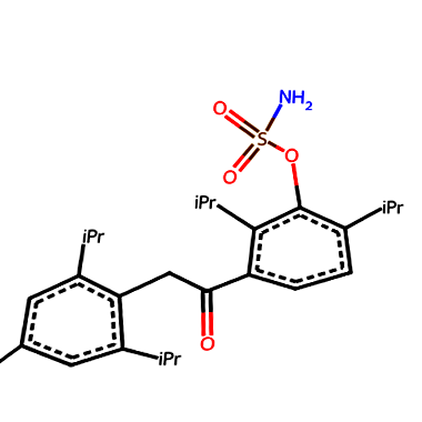 CC(C)c1cc(C(C)C)c(CC(=O)c2ccc(C(C)C)c(OS(N)(=O)=O)c2C(C)C)c(C(C)C)c1